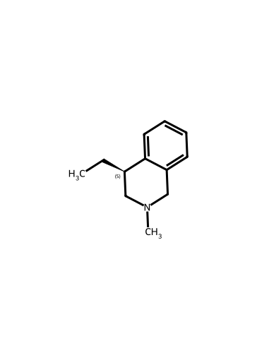 CC[C@@H]1CN(C)Cc2ccccc21